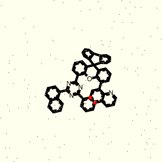 c1ccc(-c2nc(-c3cccc4c3Oc3c(-c5cccc6cccnc56)cccc3C43c4ccccc4-c4ccccc43)nc(-c3cccc4ccccc34)n2)cc1